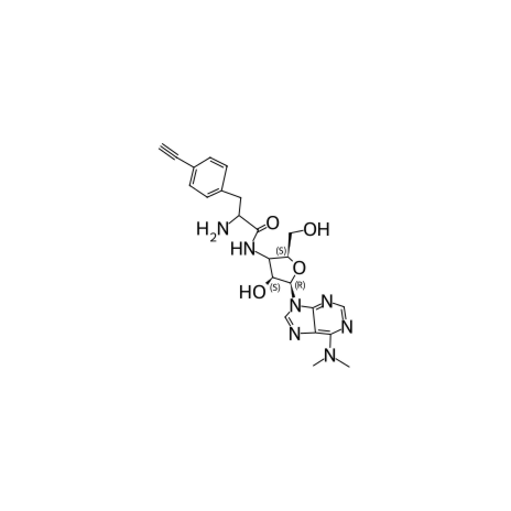 C#Cc1ccc(CC(N)C(=O)NC2[C@@H](CO)O[C@@H](n3cnc4c(N(C)C)ncnc43)[C@H]2O)cc1